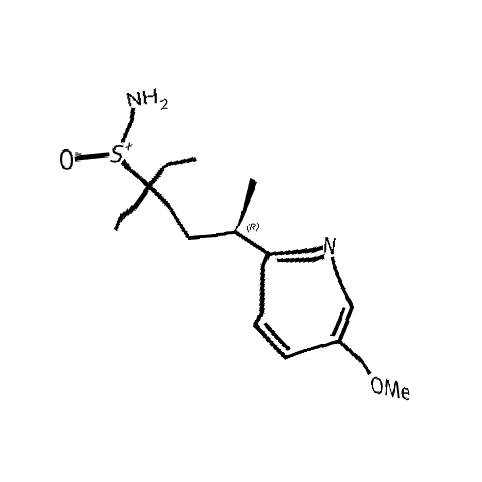 COc1ccc([C@H](C)CC(C)(C)[S+](N)[O-])nc1